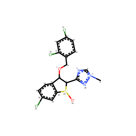 Cn1cnc(C2C(OCc3ccc(Cl)cc3Cl)c3ccc(Cl)cc3[S+]2[O-])n1